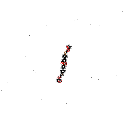 O=S(=O)(c1ccc(-c2ccc(SCCOC3CCCOC3)cc2)cc1)c1ccc(-c2ccc(SCCOC3CCCCO3)cc2)cc1